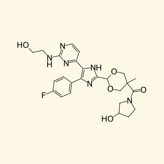 CC1(C(=O)N2CCC(O)C2)COC(c2nc(-c3ccc(F)cc3)c(-c3ccnc(NCCO)n3)[nH]2)OC1